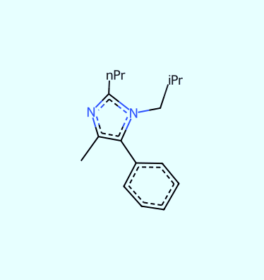 CCCc1nc(C)c(-c2ccccc2)n1CC(C)C